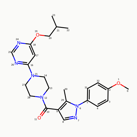 COc1ccc(-n2ncc(C(=O)N3CCN(c4cc(OCC(C)C)ncn4)CC3)c2C)cc1